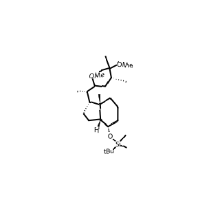 COC(C[C@@H](C)C(C)(C)OC)[C@@H](C)[C@H]1CC[C@H]2[C@@H](O[Si](C)(C)C(C)(C)C)CCC[C@@]12C